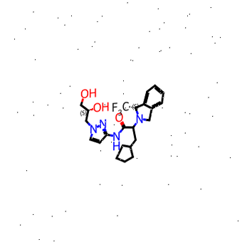 O=C(Nc1ccn(C[C@H](O)CO)n1)C(CC1CCCC1)N1Cc2ccccc2[C@H]1C(F)(F)F